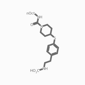 CCCCCCCCNC(=O)N1CCC(Sc2ccc(CCNC(=O)O)cc2)CC1